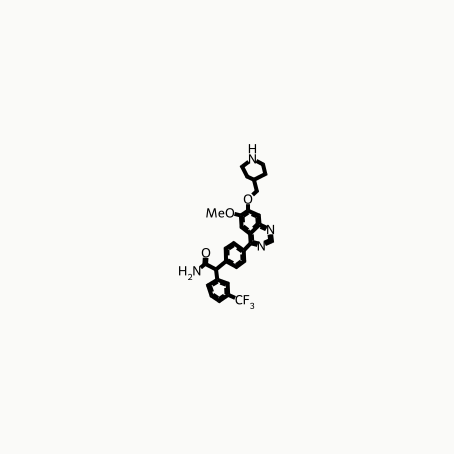 COc1cc2c(-c3ccc(C(C(N)=O)c4cccc(C(F)(F)F)c4)cc3)ncnc2cc1OCC1CCNCC1